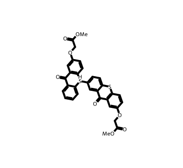 COC(=O)COc1ccc2c(c1)C(=O)c1ccccc1[SH]2c1ccc2sc3ccc(OCC(=O)OC)cc3c(=O)c2c1